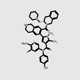 COc1ncc(N(C(=O)c2cc(-c3cc4c(cc3C(=O)N3Cc5ccccc5C[C@H]3CN3CCCCC3)CNCC4)n(C)c2C)c2ccc(O)cc2)cc1F